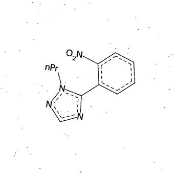 CCCn1ncnc1-c1ccccc1[N+](=O)[O-]